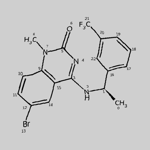 C[C@@H](Nc1nc(=O)n(C)c2ccc(Br)cc12)c1cccc(C(F)(F)F)c1